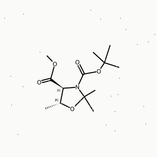 COC(=O)[C@@H]1[C@@H](C)OC(C)(C)N1C(=O)OC(C)(C)C